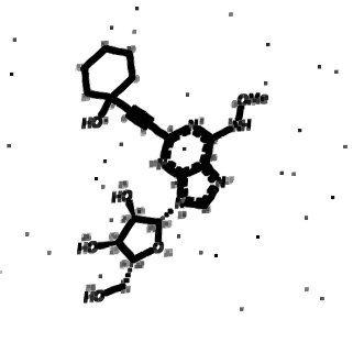 CONc1nc(C#CC2(O)CCCCC2)nc2c1ncn2[C@@H]1O[C@H](CO)[C@@H](O)[C@H]1O